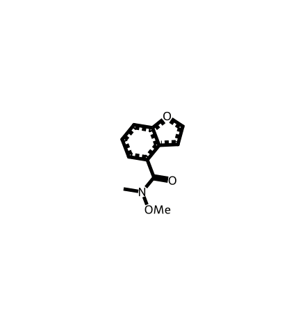 CON(C)C(=O)c1cccc2occc12